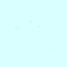 CCC(C)C1CCC(C(C)CC)C1[Si](Cl)(Cl)Cl